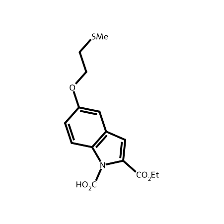 CCOC(=O)c1cc2cc(OCCSC)ccc2n1C(=O)O